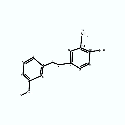 COc1cccc(CCc2ccc(F)c(N)c2)c1